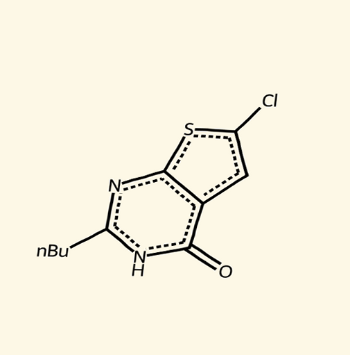 CCCCc1nc2sc(Cl)cc2c(=O)[nH]1